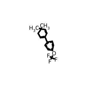 CC1(C)C=CC(c2ccc(OC(F)(F)F)cc2)=CC1